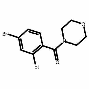 CCc1cc(Br)ccc1C(=O)N1CCOCC1